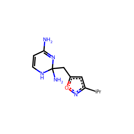 CC(C)c1cc(CC2(N)N=C(N)C=CN2)on1